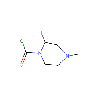 CN1CCN(C(=O)Cl)C(I)C1